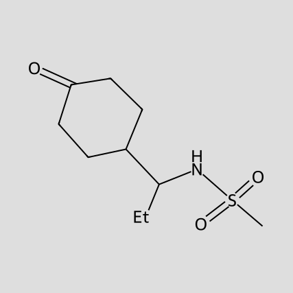 CCC(NS(C)(=O)=O)C1CCC(=O)CC1